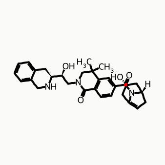 CC1(C)CN(C[C@H](O)[C@@H]2Cc3ccccc3CN2)C(=O)c2ccc(C(=O)N3C4=CC[C@H]3C[C@@H](O)C4)cc21